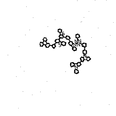 c1ccc(-c2nc(-c3cccc(-c4ccc(-n5c6ccccc6c6cc(-c7ccc8c(c7)c7ccccc7n8-c7ccccc7)ccc65)cc4)c3)nc(-n3c4ccccc4c4ccc(-c5cccc(-c6cc(-c7ccc(-c8cccc(-c9ccc%10c%11ccccc%11c%11ccccc%11c%10c9)c8)c8sc9ccccc9c78)cc7c6sc6ccccc67)c5)cc43)n2)cc1